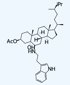 CC(=O)O[C@H]1CC[C@]2(C)[C@H]3CC[C@]4(C)[C@@H]([C@H](C)CC[C@@H](C)C(C)C)CC[C@H]4[C@@H]3C[C@@H](NCCc3c[nH]c4ccccc34)[C@@]2(O)C1